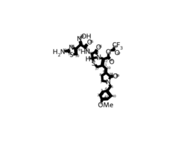 COc1ccc(CN2CCC(=CC3=C(C(=O)OC(=O)C(F)(F)F)N4C(=O)[C@@H](NC(=O)/C(=N\O)c5csc(N)n5)[C@H]4SC3)C2=O)cc1